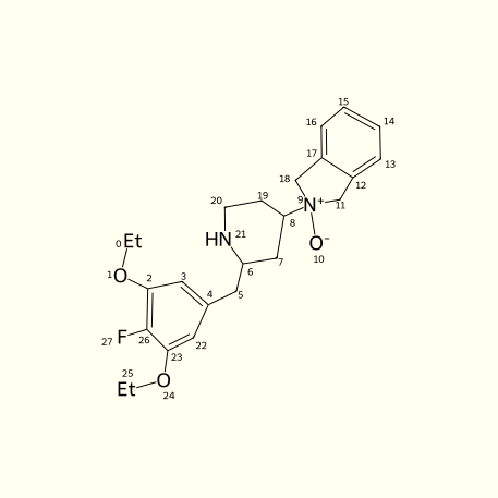 CCOc1cc(CC2CC([N+]3([O-])Cc4ccccc4C3)CCN2)cc(OCC)c1F